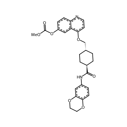 COC(=O)Oc1ccc2nccc(OC[C@H]3CC[C@H](C(=O)Nc4ccc5c(c4)OCCO5)CC3)c2c1